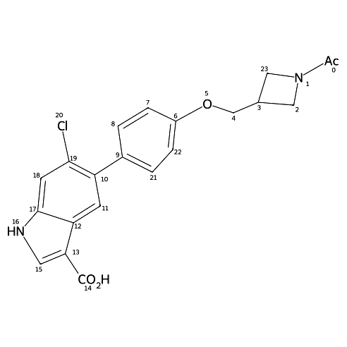 CC(=O)N1CC(COc2ccc(-c3cc4c(C(=O)O)c[nH]c4cc3Cl)cc2)C1